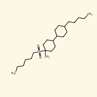 CCCCCCS(=O)(=O)C1(C)CCC(C2CCC(CCCCC)CC2)CC1